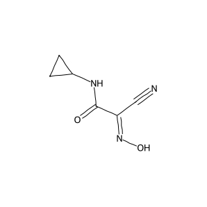 N#C/C(=N\O)C(=O)NC1CC1